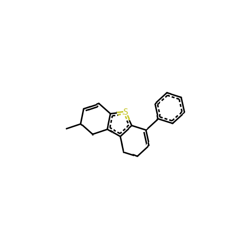 CC1C=Cc2sc3c(c2C1)CCC=C3c1ccccc1